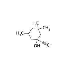 C#CC1(O)CC(C)CC(C)(C)C1